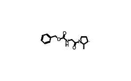 CC1[CH]CCN1C(=O)CNC(=O)OCc1ccccc1